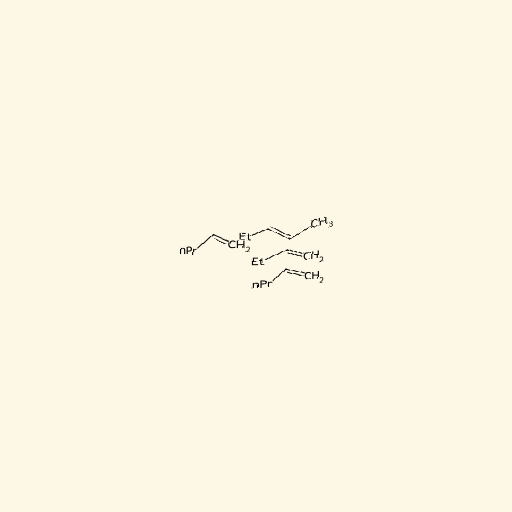 C/C=C/CC.C=CCC.C=CCCC.C=CCCC